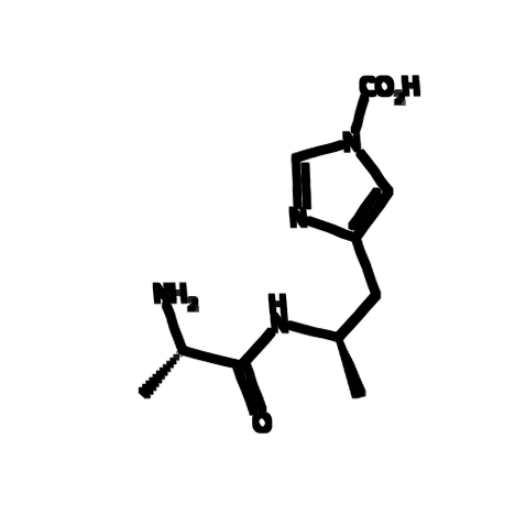 C[C@H](Cc1cn(C(=O)O)cn1)NC(=O)[C@H](C)N